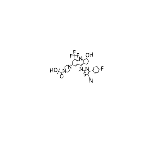 CN(c1nc(-c2ccc(F)cc2)c(C#N)s1)c1c2c(nc3c(C(F)(F)F)cc(N4CCN(C(=O)C(C)(C)O)CC4)cc13)C(O)CC2